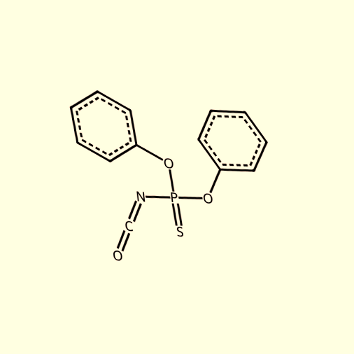 O=C=NP(=S)(Oc1ccccc1)Oc1ccccc1